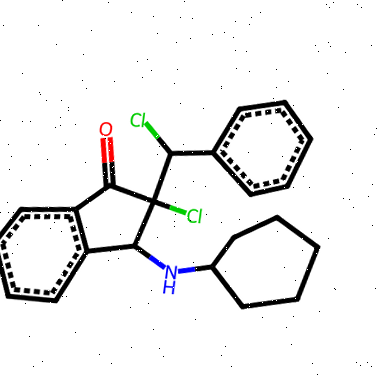 O=C1c2ccccc2C(NC2CCCCC2)C1(Cl)C(Cl)c1ccccc1